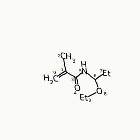 C=C(C)C(=O)NC(CC)OCC